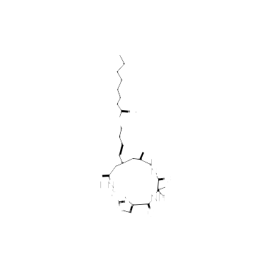 C=C1CNC(=O)C(C)(C)NC(=O)c2csc(n2)CNC(=C)CC(/C=C/CCSC(=O)CCCCCCC)C1